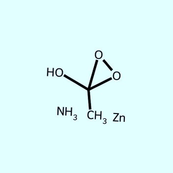 CC1(O)OO1.N.[Zn]